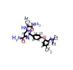 CCN(CC)Cc1cc(C(F)(F)F)ccc1Oc1ccc(-c2nc(N[C@H](C)C(N)=O)cc(C(N)=O)n2)cc1